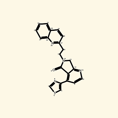 O=C1c2c(-c3cscn3)ccnc2CN1CCc1ccc2ccccc2n1